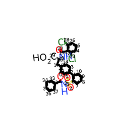 O=C(NS(=O)(=O)c1ccccc1-c1ccc(C[C@H](NC(=O)c2c(Cl)cccc2Cl)C(=O)O)cc1)c1ccccc1